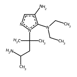 CCN(CC)c1c(N)cnn1C(C)(C)CC(C)N